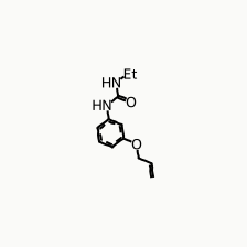 C=CCOc1cccc(NC(=O)NCC)c1